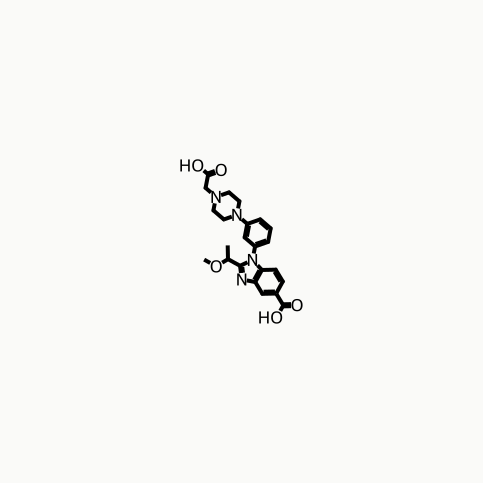 COC(C)c1nc2cc(C(=O)O)ccc2n1-c1cccc(N2CCN(CC(=O)O)CC2)c1